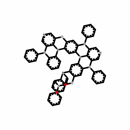 c1ccc(N2c3ccccc3B3c4cc5c(cc4Oc4cncc2c43)N(c2ccccc2)c2cncc3c2B5c2cc4c(cc2N3c2ccccc2)Oc2cncc3c2B4c2ccccc2N3c2ccccc2)cc1